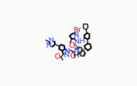 CC(=O)c1nn(CC(=O)N2[C@H](C(=O)Nc3nc(Br)ccc3C)C[C@@]3(c4cccc(-c5ccc(C6CCCC6)cc5)c4)C=CC[C@@H]23)c2ccc(-c3cnc(C)nc3)cc12